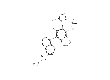 Cc1c(-c2cccc3c2ccn3S(=O)(=O)C2CC2)c2c(c3c1-n1c(C)nnc1C(C)(C)N3)CCO2